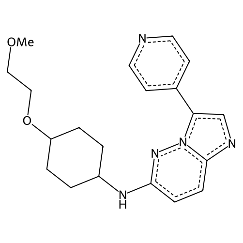 COCCOC1CCC(Nc2ccc3ncc(-c4ccncc4)n3n2)CC1